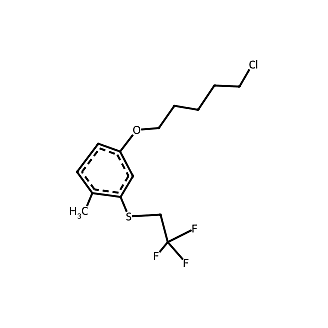 Cc1ccc(OCCCCCCl)cc1SCC(F)(F)F